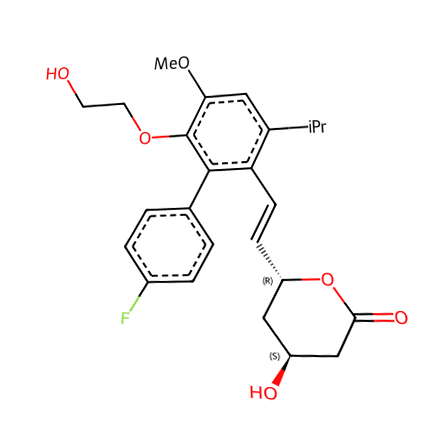 COc1cc(C(C)C)c(C=C[C@H]2C[C@H](O)CC(=O)O2)c(-c2ccc(F)cc2)c1OCCO